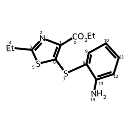 CCOC(=O)c1nc(CC)sc1Sc1ccccc1N